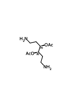 CC(=O)O[C@H](CCN)[C@@H](CCN)OC(C)=O